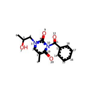 Cc1cn(CC(C)O)c(=O)n(C(=O)c2ccccc2)c1=O